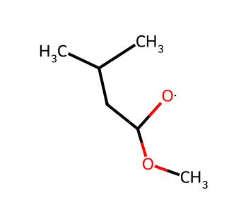 COC([O])CC(C)C